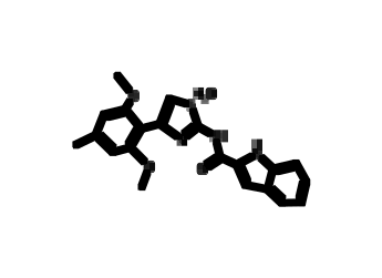 COc1cc(C)cc(OC)c1-c1csc(NC(=O)c2cc3ccccc3[nH]2)n1.O